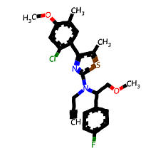 C#CCN(c1nc(-c2cc(C)c(OC)cc2Cl)c(C)s1)C(COC)c1ccc(F)cc1